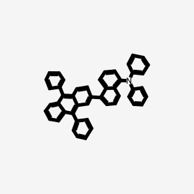 c1ccc(-c2c3ccccc3c(-c3ccccc3)c3cc(-c4cccc5c(N(c6ccccc6)c6ccccc6)cccc45)ccc23)cc1